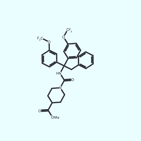 COC(=O)C1CCN(C(=O)NC(Cc2ccccc2)(c2cccc(OC(F)(F)F)c2)c2cccc(OC(F)(F)F)c2)CC1